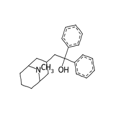 CN1C2CCCC1CC(CC(O)(c1ccccc1)c1ccccc1)C2